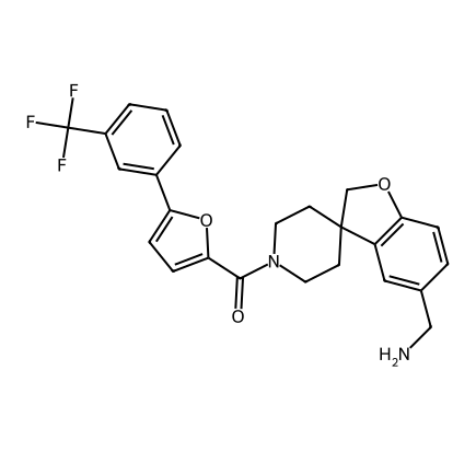 NCc1ccc2c(c1)C1(CCN(C(=O)c3ccc(-c4cccc(C(F)(F)F)c4)o3)CC1)CO2